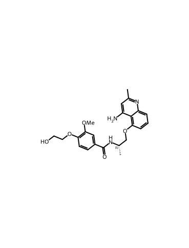 COc1cc(C(=O)N[C@@H](C)COc2cccc3nc(C)cc(N)c23)ccc1OCCO